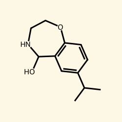 CC(C)c1ccc2c(c1)C(O)NCCO2